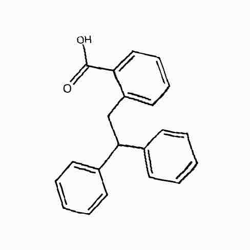 O=C(O)c1ccccc1CC(c1ccccc1)c1ccccc1